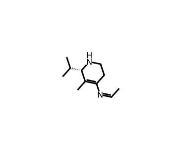 C/C=N\C1=C(C)[C@H](C(C)C)NCC1